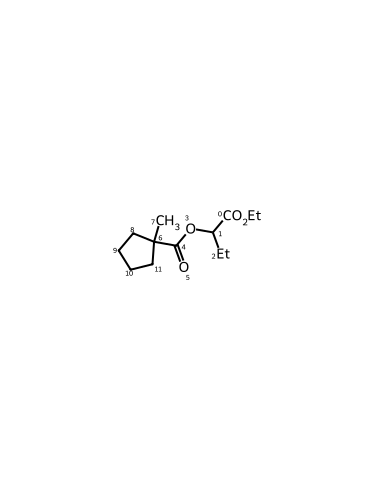 CCOC(=O)C(CC)OC(=O)C1(C)CCCC1